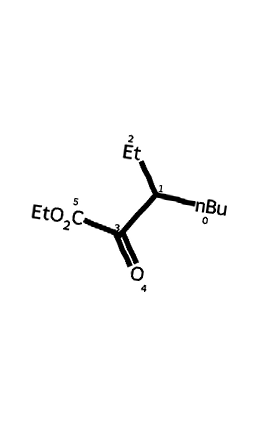 CCCCC(CC)C(=O)C(=O)OCC